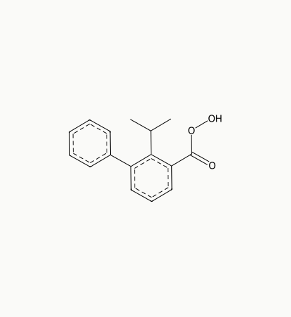 CC(C)c1c(C(=O)OO)cccc1-c1ccccc1